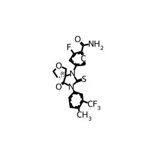 Cc1ccc(N2C(=O)[C@]3(CCOC3)N(c3ccc(C(N)=O)c(F)c3)C2=S)cc1C(F)(F)F